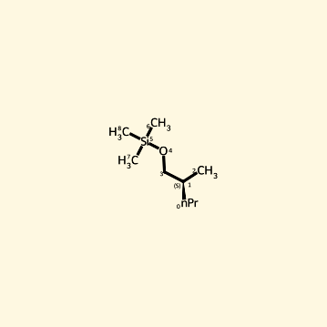 CCC[C@H](C)CO[Si](C)(C)C